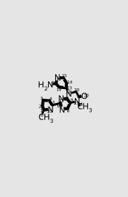 Cc1cccc(-c2ncc3c(n2)N(c2ccnc(N)c2)CC(=O)N3C)n1